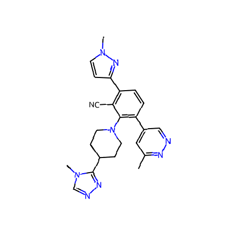 Cc1cc(-c2ccc(-c3ccn(C)n3)c(C#N)c2N2CCC(c3nncn3C)CC2)cnn1